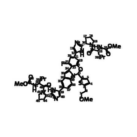 COCCc1ccc(C2Oc3cc(-c4cnc([C@@H]5CCCN5C(=O)[C@@H](NC(=O)OC)C(C)C)[nH]4)cc(F)c3-c3cc4cc(-c5cnc([C@@H]6CCCN6C(=O)[C@@H](NC(=O)OC)C(C)C)[nH]5)ccc4n32)s1